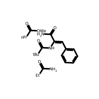 CC(C)(C)C(=O)N/C(=C\c1ccccc1)C(N)=O.CCC(N)=O.CCCC(=O)OC